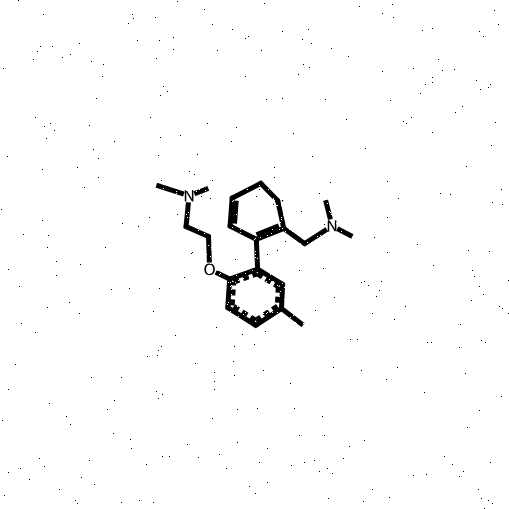 Cc1ccc(OCCN(C)C)c(C2=C(CN(C)C)[CH]CC=C2)c1